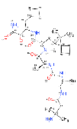 CC(C)(N)CC(=O)NCC(NC(=O)N[C@H](C(=O)N1C[C@]2(C[C@H]1C(=O)NC(CC1CCC1)C(=O)C(N)=O)C(C)(C)C21CCC1)C(C)(C)C)C(C)(C)C